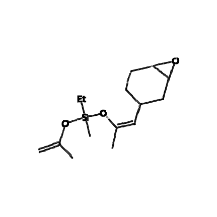 C=C(C)O[Si](C)(CC)OC(C)=CC1CCC2OC2C1